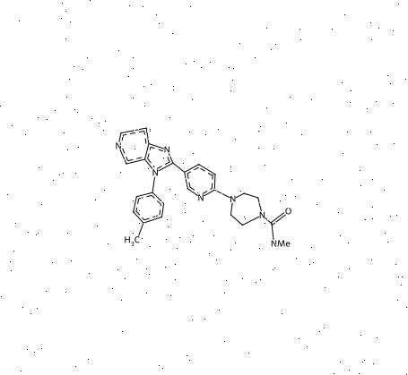 CNC(=O)N1CCN(c2ccc(-c3nc4ccncc4n3-c3ccc(C)cc3)cn2)CC1